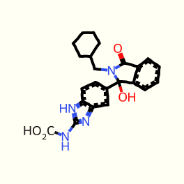 O=C(O)Nc1nc2cc(C3(O)c4ccccc4C(=O)N3CC3CCCCC3)ccc2[nH]1